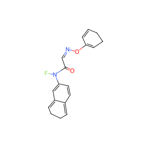 O=C(/C=N\OC1=CCCC=C1)N(F)c1ccc2c(c1)=CCCC=2